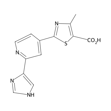 Cc1nc(-c2ccnc(-c3c[nH]cn3)c2)sc1C(=O)O